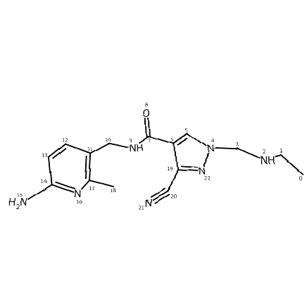 CCNCn1cc(C(=O)NCc2ccc(N)nc2C)c(C#N)n1